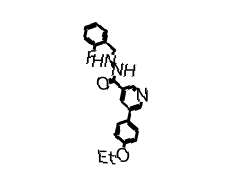 CCOc1ccc(-c2cncc(C(=O)NNCc3ccccc3F)c2)cc1